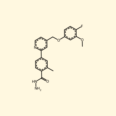 COc1cc(OCc2ccnc(-c3ccc(C(=O)NN)c(C)c3)c2)ccc1F